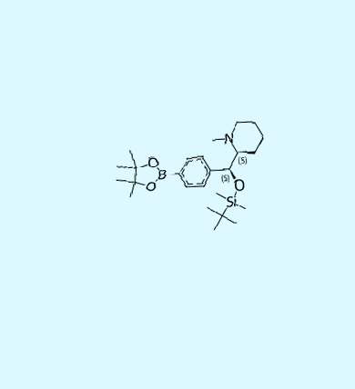 CN1CCCC[C@H]1[C@@H](O[Si](C)(C)C(C)(C)C)c1ccc(B2OC(C)(C)C(C)(C)O2)cc1